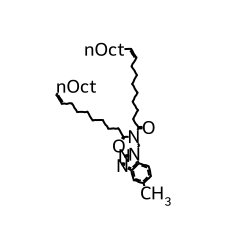 CCCCCCCC/C=C\CCCCCCCC(=O)N(Cn1nnc2cc(C)ccc21)C(=O)CCCCCCC/C=C\CCCCCCCC